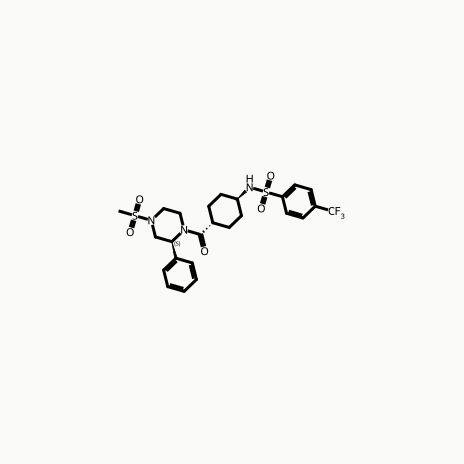 CS(=O)(=O)N1CCN(C(=O)[C@H]2CC[C@H](NS(=O)(=O)c3ccc(C(F)(F)F)cc3)CC2)[C@@H](c2ccccc2)C1